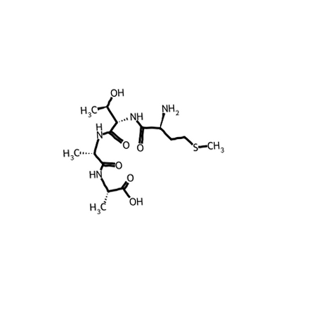 CSCC[C@H](N)C(=O)N[C@H](C(=O)N[C@@H](C)C(=O)N[C@@H](C)C(=O)O)[C@@H](C)O